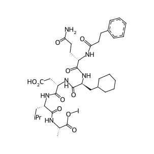 CC(C)C[C@H](NC(=O)[C@H](CC(=O)O)NC(=O)[C@H](CC1CCCCC1)NC(=O)[C@H](CCC(N)=O)NC(=O)CCc1ccccc1)C(=O)N[C@@H](C)C(=O)OI